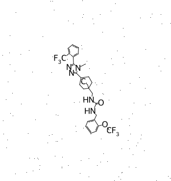 Cn1c(-c2ccccc2C(F)(F)F)nnc1C12CCC(CNC(=O)NCc3ccccc3OC(F)(F)F)(CC1)CC2